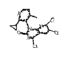 Cc1ccnc(C2CC2)c1-n1c(=O)nc(Cl)c2cc(Cl)c(Cl)nc21